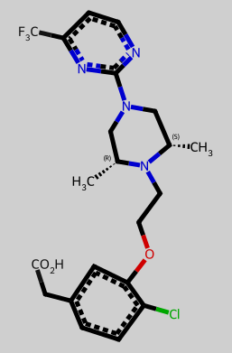 C[C@@H]1CN(c2nccc(C(F)(F)F)n2)C[C@H](C)N1CCOc1cc(CC(=O)O)ccc1Cl